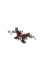 CCc1nc2ccccc2cc1C(=O)N[C@@H](CSSC[C@H](NC(=O)c1cc2ccccc2nc1CC)C(=O)N1CCC[C@H]1C(=O)N[C@@H](Cc1ccccc1)C(=O)NCCCN)C(=O)N1CCC[C@H]1C(=O)N[C@@H](CC1=CC=CCC1)C(=O)NCCCN